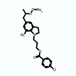 CC(Cc1cc(C#N)c2c(c1)CCN2CCCOC(=O)c1ccc(Cl)cc1)OON